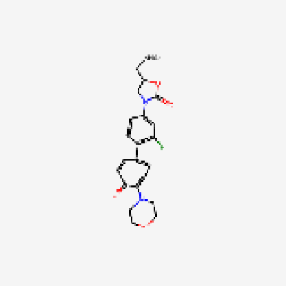 CC(=O)NCC1CN(c2ccc(-c3ccc(N4CCOCC4)c(=O)cc3)c(F)c2)C(=O)O1